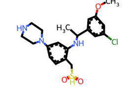 COc1cc(Cl)cc(C(C)Nc2cc(N3CCNCC3)ccc2C[SH](=O)=O)c1